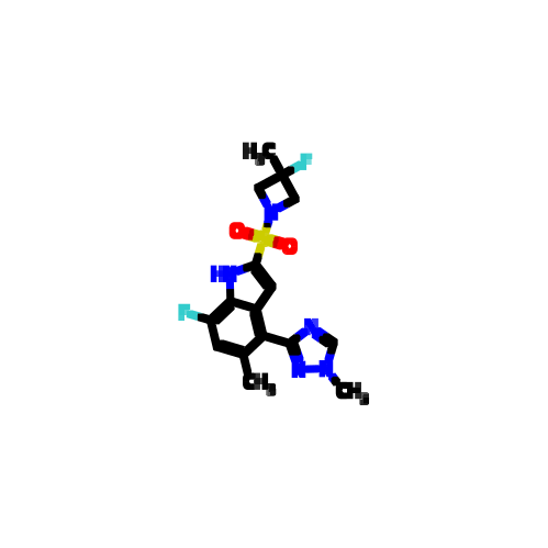 Cc1cc(F)c2[nH]c(S(=O)(=O)N3CC(C)(F)C3)cc2c1-c1ncn(C)n1